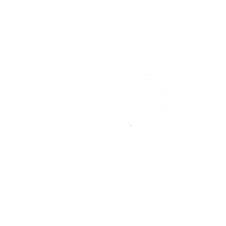 Cc1nc(C(=O)C2=C(O)C(=O)N(C)C2)c(Cc2ccc(F)cc2)o1